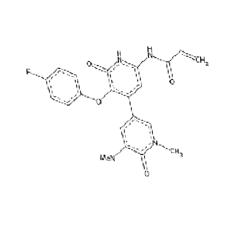 C=CC(=O)Nc1cc(-c2cc(NC)c(=O)n(C)c2)c(Oc2ccc(F)cc2)c(=O)[nH]1